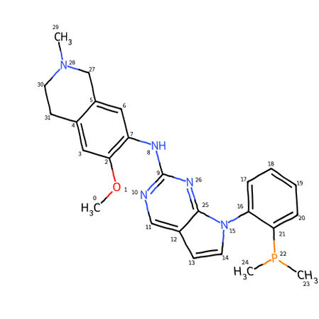 COc1cc2c(cc1Nc1ncc3ccn(-c4ccccc4P(C)C)c3n1)CN(C)CC2